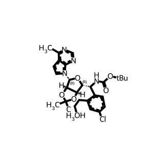 Cc1ncnc2c1ccn2[C@@H]1O[C@H](C(NC(=O)OC(C)(C)C)c2ccc(Cl)cc2CCO)[C@H]2OC(C)(C)O[C@H]21